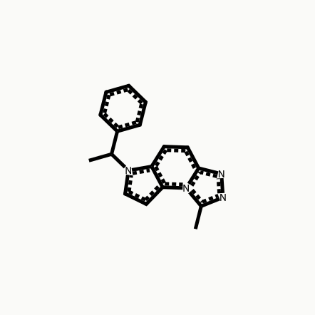 Cc1nnc2ccc3c(ccn3C(C)c3ccccc3)n12